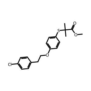 COC(=O)C(C)(C)Sc1ccc(OCCc2ccc(Cl)cc2)cc1